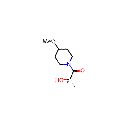 COC1CCN(C(=O)[C@H](C)O)CC1